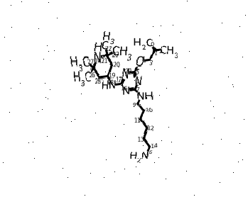 C=C(C)COc1nc(NCCCCCCN)nc(NC2CC(C)(C)NC(C)(C)C2)n1